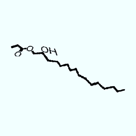 C=CC(=O)OCC(O)CCCCCCCCCCCCCC